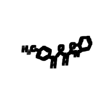 Cc1ccc(NC(=O)Nc2nc3ccccc3o2)cc1